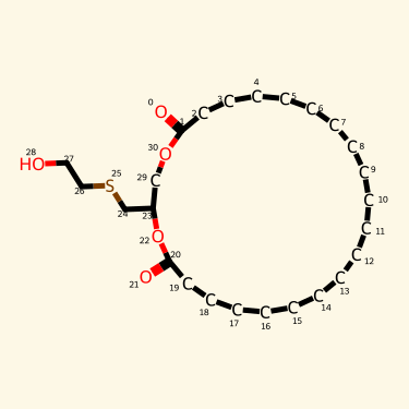 O=C1CCCCCCCCCCCCCCCCCCC(=O)OC(CSCCO)CO1